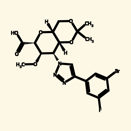 CO[C@@H]1[C@@H](n2cc(-c3cc(F)cc(Br)c3)nn2)[C@H]2OC(C)(C)OC[C@H]2O[C@H]1C(=O)O